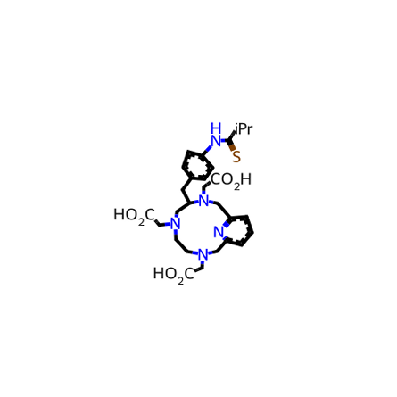 CC(C)C(=S)Nc1ccc(CC2CN(CC(=O)O)CCN(CC(=O)O)Cc3cccc(n3)CN2CC(=O)O)cc1